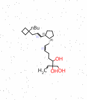 C=CC(O)(CO)C(O)CC/C=C\C[C@H]1CCC[C@@H]1/C=C/CC1(CCCC)CCC1